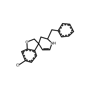 Clc1ccc2c(c1)OCC21C=CNC(Cc2ccccc2)C1